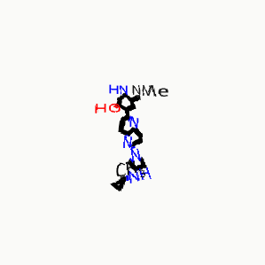 CN/C=C1/C=C(c2ccc3nc(N4CCC(NC5(C)CC5)C4)ccc3n2)C(O)=CC1=N